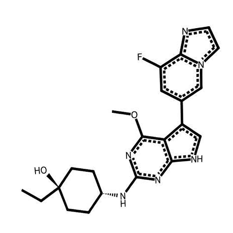 CC[C@]1(O)CC[C@H](Nc2nc(OC)c3c(-c4cc(F)c5nccn5c4)c[nH]c3n2)CC1